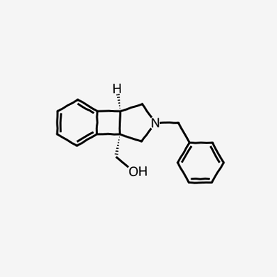 OC[C@@]12CN(Cc3ccccc3)C[C@@H]1c1ccccc12